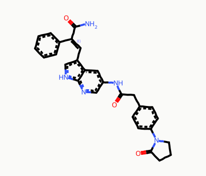 NC(=O)/C(=C/c1c[nH]c2ncc(NC(=O)Cc3ccc(N4CCCC4=O)cc3)cc12)c1ccccc1